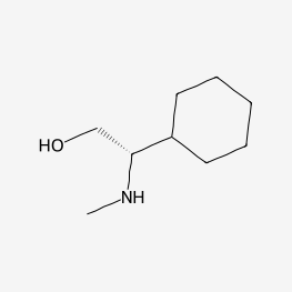 CN[C@H](CO)C1CCCCC1